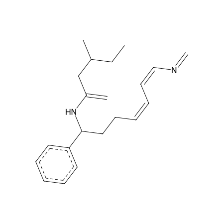 C=N/C=C\C=C/CCC(NC(=C)CC(C)CC)c1ccccc1